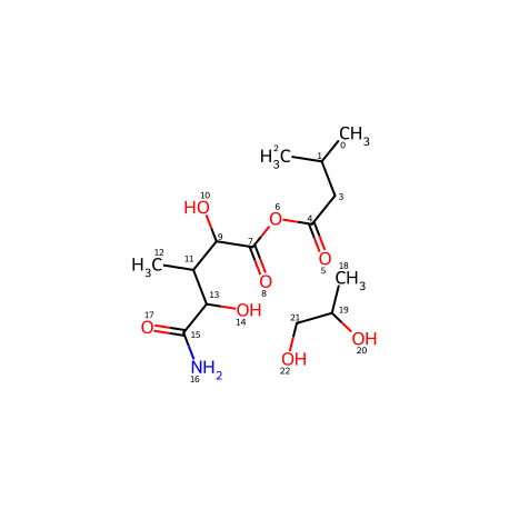 CC(C)CC(=O)OC(=O)C(O)C(C)C(O)C(N)=O.CC(O)CO